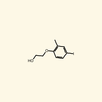 Cc1cc(I)ccc1OCCO